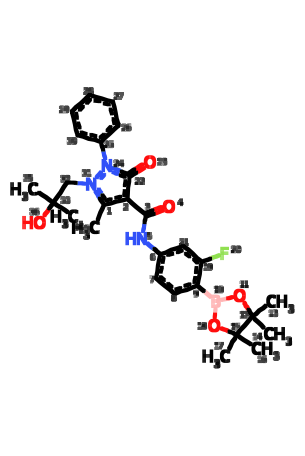 Cc1c(C(=O)Nc2ccc(B3OC(C)(C)C(C)(C)O3)c(F)c2)c(=O)n(-c2ccccc2)n1CC(C)(C)O